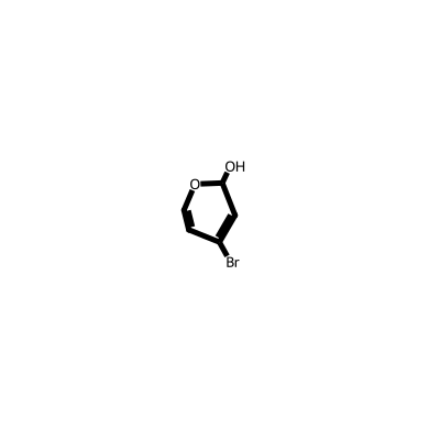 OC1C=C(Br)C=CO1